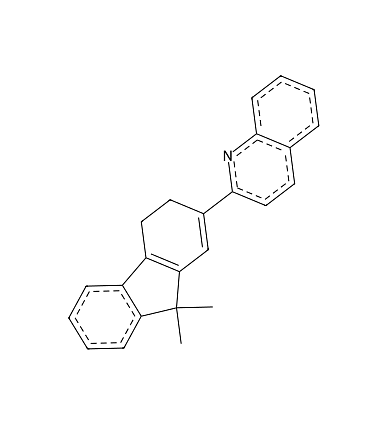 CC1(C)C2=C(CCC(c3ccc4ccccc4n3)=C2)c2ccccc21